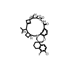 CC(C)C1C2=C[C@@H](C2)[C@H](C)[C@@H](C)S(=O)(=O)NC(=O)c2ccc3c(c2)N(C[C@@H]2CC[C@@H]12)C[C@@]1(CCCc2c1ccc(Cl)c2F)CO3